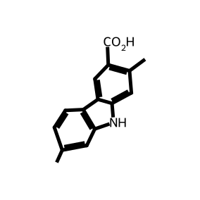 Cc1ccc2c(c1)[nH]c1cc(C)c(C(=O)O)cc12